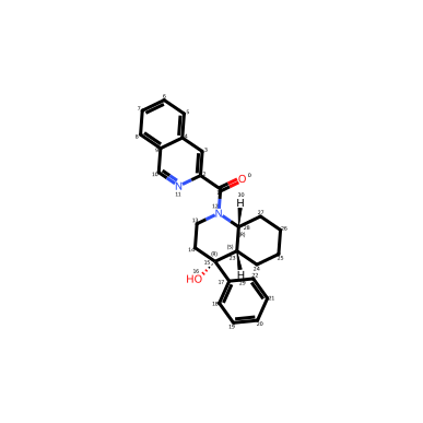 O=C(c1cc2ccccc2cn1)N1CC[C@](O)(c2ccccc2)[C@H]2CCCC[C@H]21